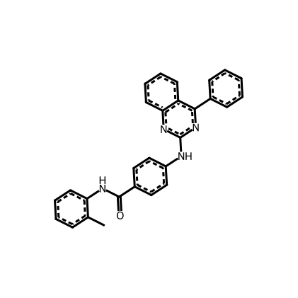 Cc1ccccc1NC(=O)c1ccc(Nc2nc(-c3ccccc3)c3ccccc3n2)cc1